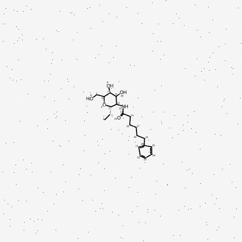 CC[C@@H]1OC(CO)[C@@H](O)C(O)C1NC(=O)CCCCCc1ccccc1